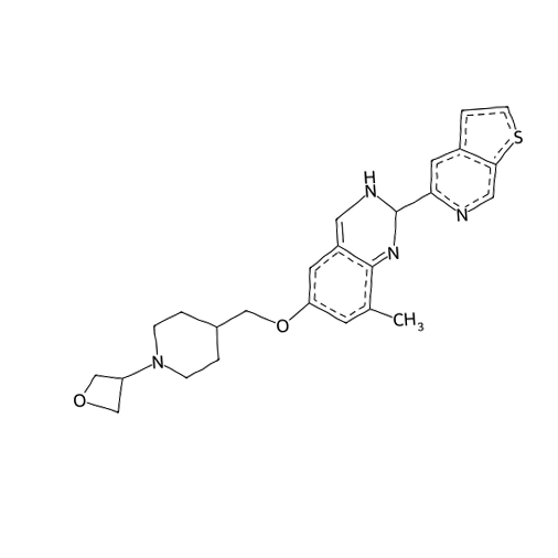 Cc1cc(OCC2CCN(C3COC3)CC2)cc2c1=NC(c1cc3ccsc3cn1)NC=2